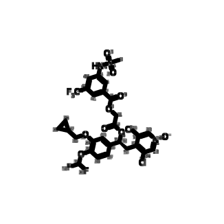 CS(=O)(=O)Nc1cc(C(=O)OCC(=O)O[C@@H](Cc2c(Cl)c[n+]([O-])cc2Cl)c2ccc(OC(F)F)c(OCC3CC3)c2)cc(C(F)(F)F)c1